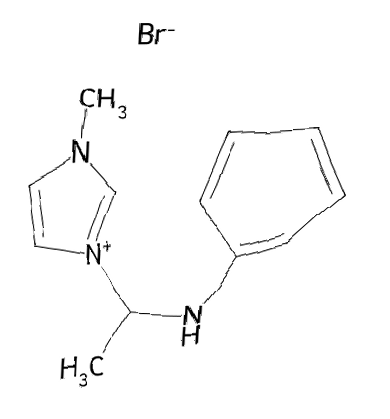 CC(Nc1ccccc1)[n+]1ccn(C)c1.[Br-]